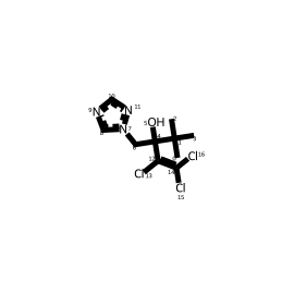 CC(C)(C)C(O)(Cn1cncn1)C(Cl)=C(Cl)Cl